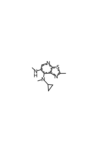 CNc1cnc2sc(C)nc2c1N(C)C1CC1